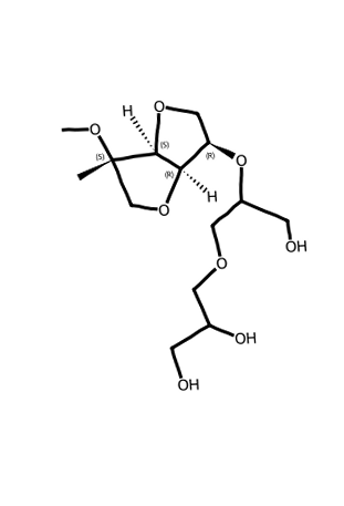 CO[C@@]1(C)CO[C@@H]2[C@H](OC(CO)COCC(O)CO)CO[C@@H]21